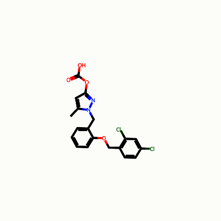 Cc1cc(OC(=O)O)nn1Cc1ccccc1OCc1ccc(Cl)cc1Cl